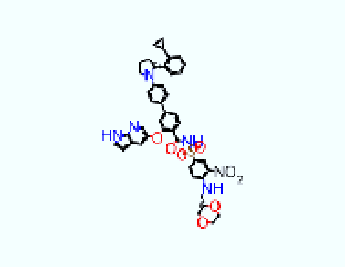 O=C(NS(=O)(=O)c1ccc(NC[C@@H]2COCCO2)c([N+](=O)[O-])c1)c1ccc(-c2ccc(N3CCC[C@H]3c3ccccc3C3CC3)cc2)cc1Oc1cnc2[nH]ccc2c1